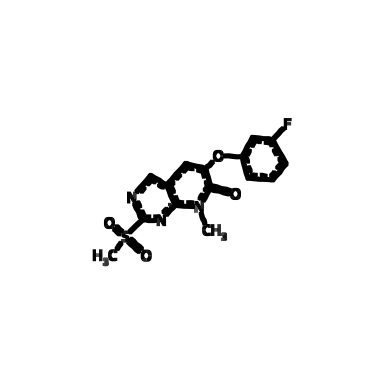 Cn1c(=O)c(Oc2cccc(F)c2)cc2cnc(S(C)(=O)=O)nc21